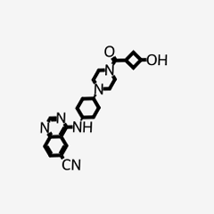 N#Cc1ccc2ncnc(N[C@H]3CC[C@H](N4CCN(C(=O)C5CC(O)C5)CC4)CC3)c2c1